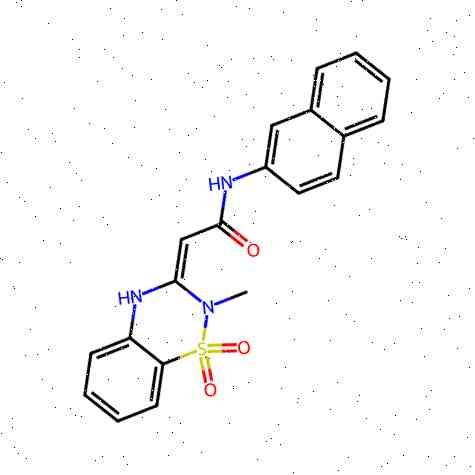 CN1/C(=C\C(=O)Nc2ccc3ccccc3c2)Nc2ccccc2S1(=O)=O